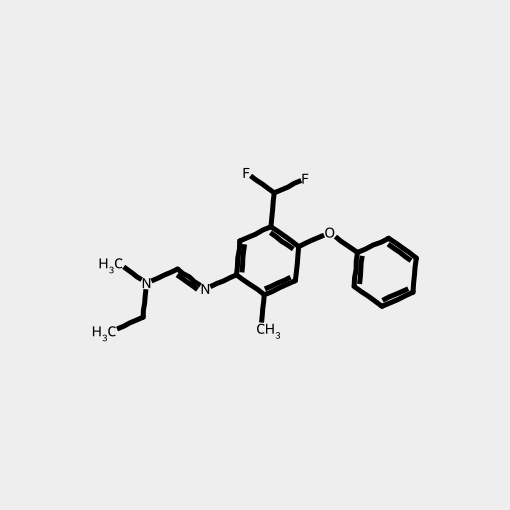 CCN(C)/C=N/c1cc(C(F)F)c(Oc2ccccc2)cc1C